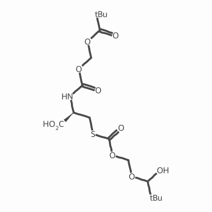 CC(C)(C)C(=O)OCOC(=O)N[C@@H](CSC(=O)OCOC(O)C(C)(C)C)C(=O)O